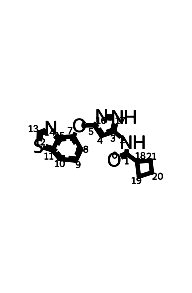 O=C(Nc1cc(Oc2cccc3scnc23)n[nH]1)C1CCC1